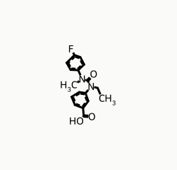 CCN(C(=O)N(C)c1ccc(F)cc1)c1cccc(C(=O)O)c1